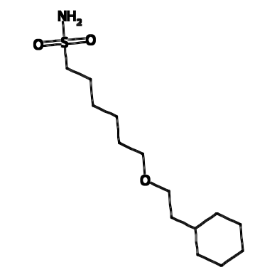 NS(=O)(=O)CCCCCCOCCC1CCCCC1